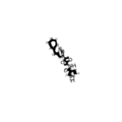 O=C(NC1COC2C1OCC2n1cc(CC2CCCCC2)nn1)c1cc[nH]c1